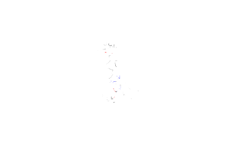 CC1C[C@@H](c2ncc(-c3ccc(B4OC(C)(C)C(C)(C)O4)cc3)[nH]2)N(C(=O)OC(C)(C)C)[C@@H]1C